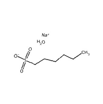 CCCCCCS(=O)(=O)[O-].O.[Na+]